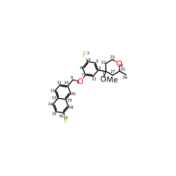 COC1(c2cc(F)cc(OCc3ccc4ccc(F)cc4c3)c2)CCOC(C)C1